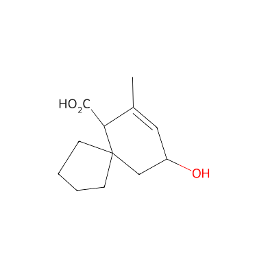 CC1=CC(O)CC2(CCCC2)C1C(=O)O